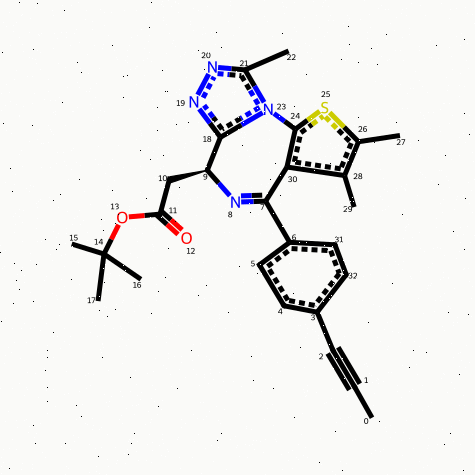 CC#Cc1ccc(C2=N[C@@H](CC(=O)OC(C)(C)C)c3nnc(C)n3-c3sc(C)c(C)c32)cc1